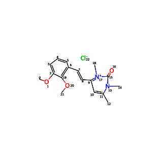 COc1cccc(C=Cc2cc(C)n(C)c(=O)[n+]2C)c1OC.[Cl-]